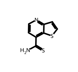 NC(=S)c1ccnc2ccsc12